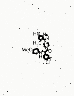 CO[C@H]1CC[C@H](NC[C@@H](C(=O)N2CCN(c3ncnc4c3[C@H](C)C[C@H]4O)CC2)c2ccc(Cl)c(F)c2)CC1